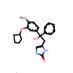 COc1ccc(C(O)(CC2=C[N]C(=O)N2)c2ccccc2)cc1OC1CCCC1